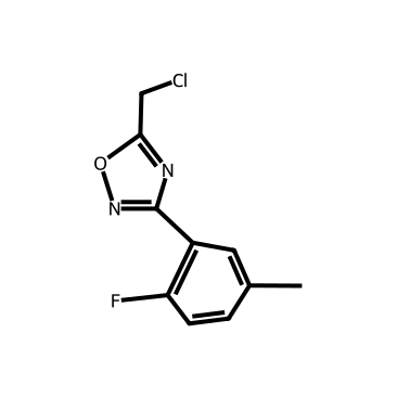 Cc1ccc(F)c(-c2noc(CCl)n2)c1